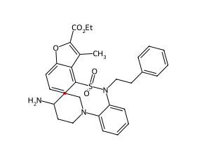 CCOC(=O)c1oc2cccc(S(=O)(=O)N(CCc3ccccc3)c3ccccc3N3CCC(N)CC3)c2c1C